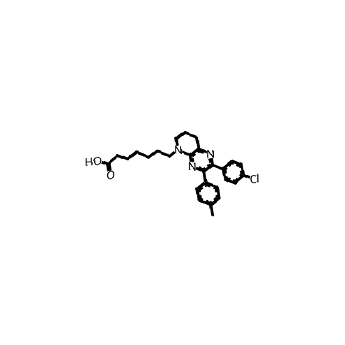 Cc1ccc(-c2nc3c(nc2-c2ccc(Cl)cc2)CCCN3CCCCCCC(=O)O)cc1